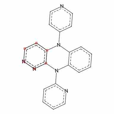 c1ccc(N(c2ccccn2)c2ccccc2N(c2ccncc2)c2ccncc2)nc1